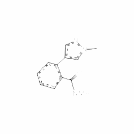 CNC(=O)c1[c]cccc1-c1cnn(C)c1